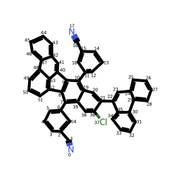 N#Cc1cccc(-c2c3c(c(-c4cccc(C#N)c4)c4cc(-c5cc6ccccc6c6ccccc56)c(Cl)cc24)-c2cc4ccccc4c4cccc-3c24)c1